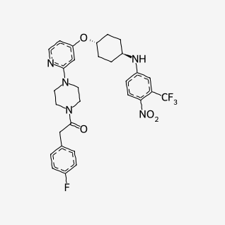 O=C(Cc1ccc(F)cc1)N1CCN(c2cc(O[C@H]3CC[C@H](Nc4ccc([N+](=O)[O-])c(C(F)(F)F)c4)CC3)ccn2)CC1